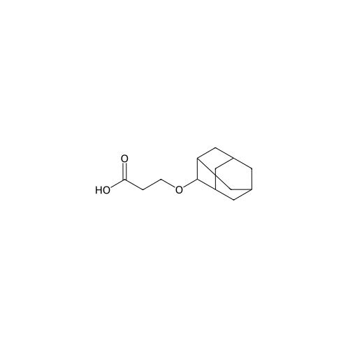 O=C(O)CCOC1C2CC3CC(C2)CC1C3